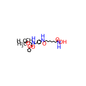 CC(C)(C)OCC(NCc1ccc(NC(=O)CCCCCCC(=O)NO)cc1)C(=O)OC1CCCC1